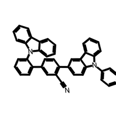 N#Cc1cc(-c2ccccc2-n2c3ccccc3c3ccccc32)ccc1-c1ccc2c(c1)c1ccccc1n2-c1ccccc1